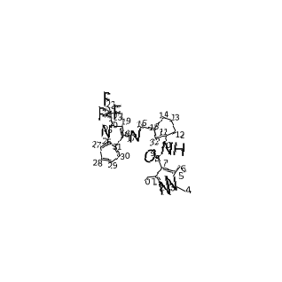 Cc1nn(C)c(C)c1C(=O)NC1CCCC(/C=N/c2cc(C(F)(F)F)nc3ccccc23)C1